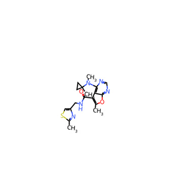 Cc1nc(CNC(=O)c2c(C)oc3ncnc(N(C)C4(C)CC4)c23)cs1